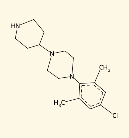 Cc1cc(Cl)cc(C)c1N1CCN(C2CCNCC2)CC1